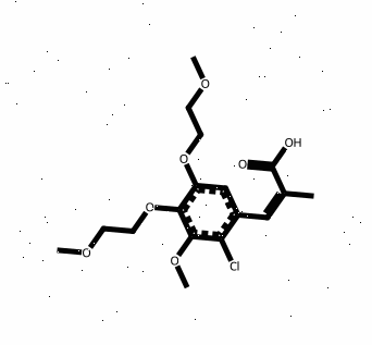 COCCOc1cc(C=C(C)C(=O)O)c(Cl)c(OC)c1OCCOC